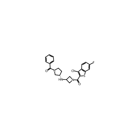 O=C(c1ccccc1)N1CC[C@H](NC2CN(C(=O)c3sc4cc(F)ccc4c3Cl)C2)C1